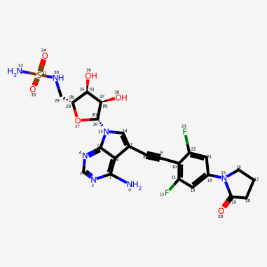 Nc1ncnc2c1c(C#Cc1c(F)cc(N3CCCC3=O)cc1F)cn2[C@@H]1O[C@H](CNS(N)(=O)=O)[C@@H](O)[C@H]1O